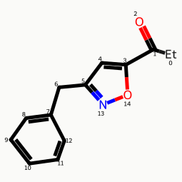 CCC(=O)c1cc(Cc2ccccc2)no1